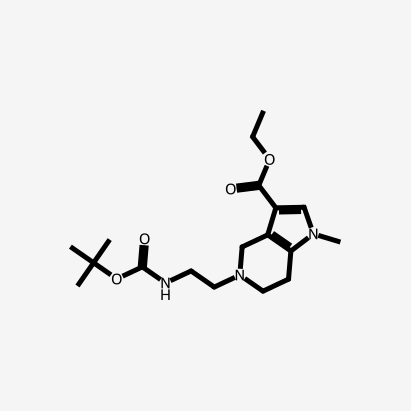 CCOC(=O)c1cn(C)c2c1CN(CCNC(=O)OC(C)(C)C)CC2